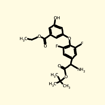 CCOC(=O)c1cc(O)cc(Oc2c(F)cc(C(N)C(=O)OC(C)(C)C)cc2F)c1